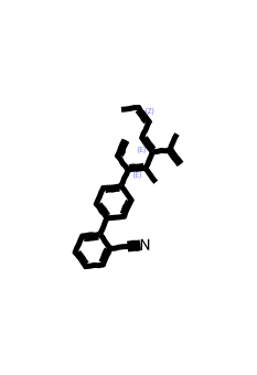 C=C\C(=C(C)/C(=C/C=C\C)C(=C)C)c1ccc(-c2ccccc2C#N)cc1